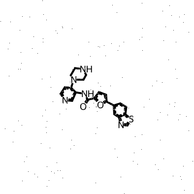 O=C(Nc1cnccc1N1CCNCC1)c1ccc(-c2ccc3scnc3c2)o1